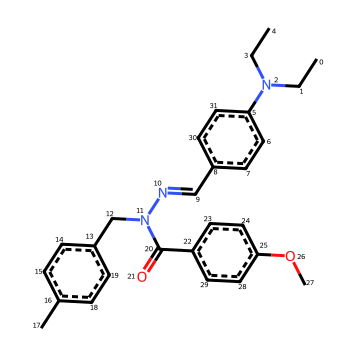 CCN(CC)c1ccc(C=NN(Cc2ccc(C)cc2)C(=O)c2ccc(OC)cc2)cc1